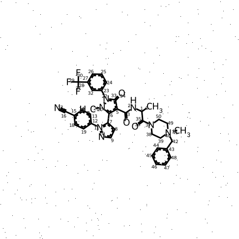 CC(NC(=O)c1c(-c2ccnn2-c2ccc(C#N)cc2)n(C)n(-c2cccc(C(F)(F)F)c2)c1=O)C(=O)N1CC[N+](C)(Cc2ccccc2)CC1